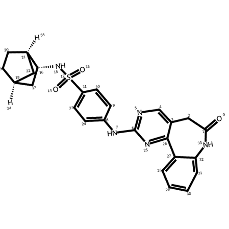 O=C1Cc2cnc(Nc3ccc(S(=O)(=O)N[C@@H]4C[C@H]5CC[C@@H]4C5)cc3)nc2-c2ccccc2N1